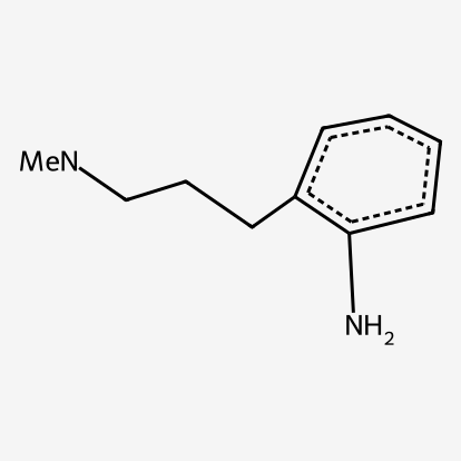 CNCCCc1ccccc1N